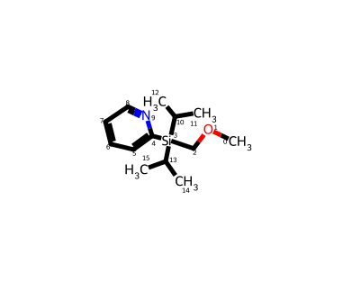 COC[Si](c1ccccn1)(C(C)C)C(C)C